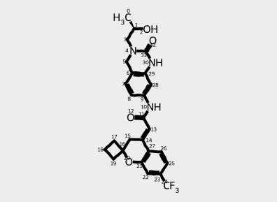 C[C@@H](O)CN1Cc2ccc(NC(=O)/C=C3\CC4(CCC4)Oc4cc(C(F)(F)F)ccc43)cc2NC1=O